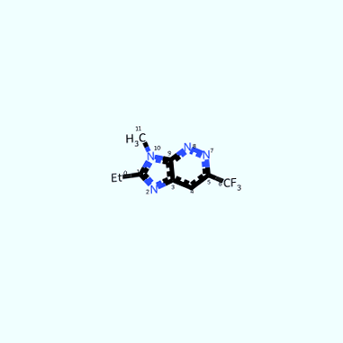 CCc1nc2cc(C(F)(F)F)nnc2n1C